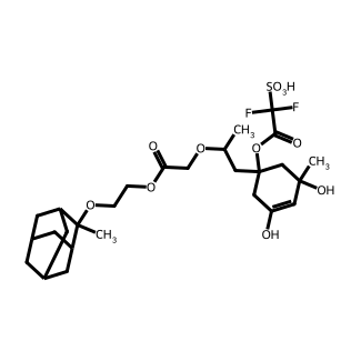 CC(CC1(OC(=O)C(F)(F)S(=O)(=O)O)CC(O)=CC(C)(O)C1)OCC(=O)OCCOC1(C)C2CC3CC(C2)CC1C3